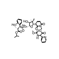 COC(=O)NC(C(=O)OCn1c(=O)ccn([C@@H]2O[C@H](CO[PH](=O)N(c3ccccc3O)[C@@H](C)C(=O)OC(C)C)[C@@H](O)[C@@]2(C)F)c1=O)c1ccccn1